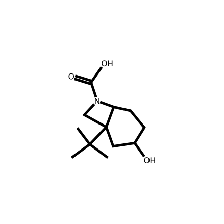 CC(C)(C)C12CC(O)CCC1N(C(=O)O)C2